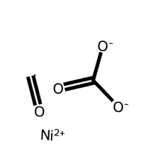 O=C([O-])[O-].[C]=O.[Ni+2]